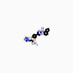 C[C@@H](CCn1cnnn1)Oc1cc(-c2cnc(Nc3cccc4c3CCC4)nc2)ccc1Cl